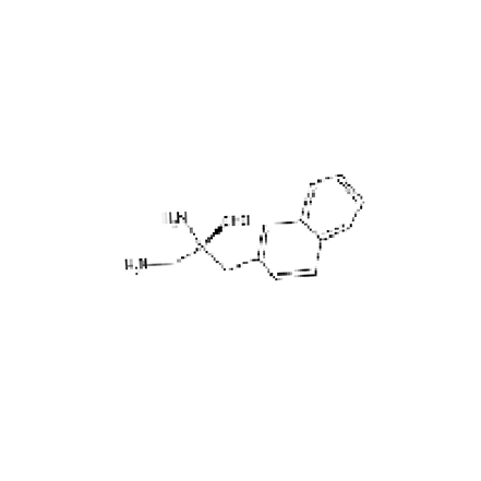 NC[C@@](N)(C=O)Cc1ccc2ccccc2c1